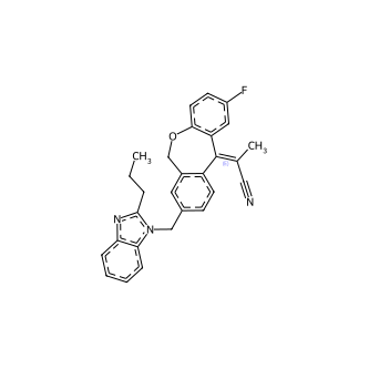 CCCc1nc2ccccc2n1Cc1ccc2c(c1)COc1ccc(F)cc1/C2=C(\C)C#N